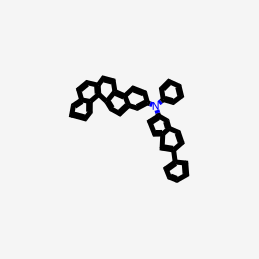 c1ccc(-c2ccc3cc(N(c4ccccc4)c4ccc5c(ccc6c5ccc5ccc7ccccc7c56)c4)ccc3c2)cc1